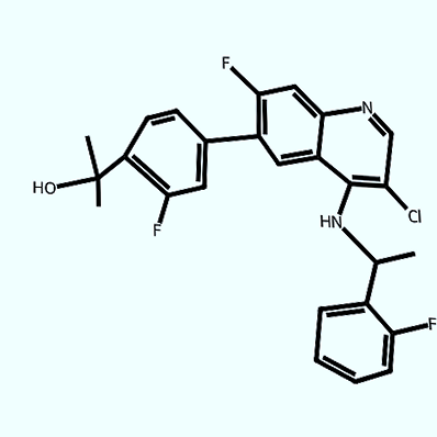 CC(Nc1c(Cl)cnc2cc(F)c(-c3ccc(C(C)(C)O)c(F)c3)cc12)c1ccccc1F